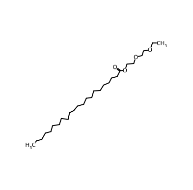 CCCCCCCCCCCCCCCCCCCCCC(=O)OCCOCCOCC